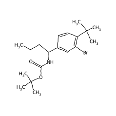 CCCC(NC(=O)OC(C)(C)C)c1ccc(C(C)(C)C)c(Br)c1